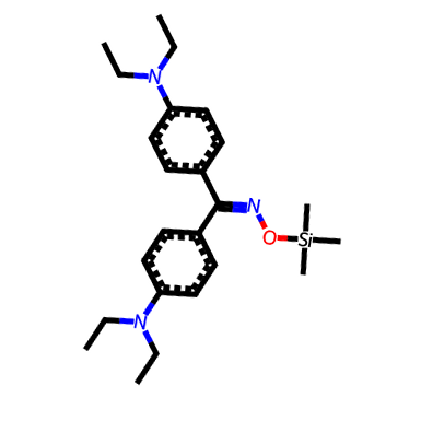 CCN(CC)c1ccc(C(=NO[Si](C)(C)C)c2ccc(N(CC)CC)cc2)cc1